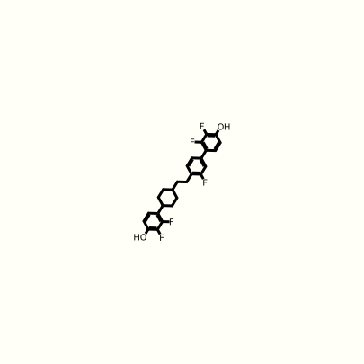 Oc1ccc(-c2ccc(CCC3CCC(c4ccc(O)c(F)c4F)CC3)c(F)c2)c(F)c1F